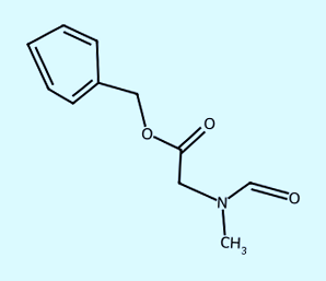 CN(C=O)CC(=O)OCc1ccccc1